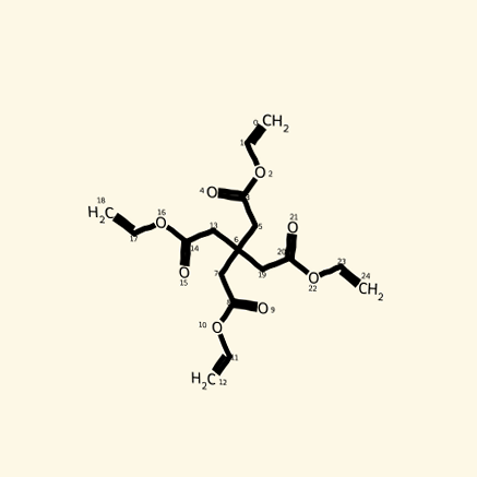 C=COC(=O)CC(CC(=O)OC=C)(CC(=O)OC=C)CC(=O)OC=C